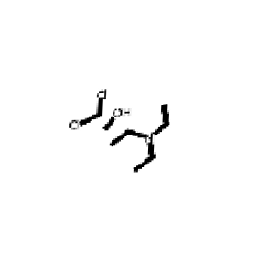 CCN(CC)CC.CO.ClCCl